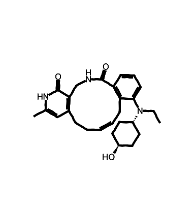 CCN(c1cccc2c1CC=CCCc1cc(C)[nH]c(=O)c1CNC2=O)[C@H]1CC[C@H](O)CC1